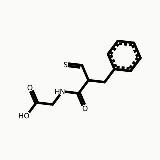 O=C(O)CNC(=O)C(C=S)Cc1ccccc1